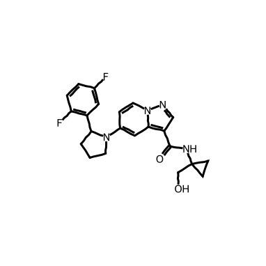 O=C(NC1(CO)CC1)c1cnn2ccc(N3CCCC3c3cc(F)ccc3F)cc12